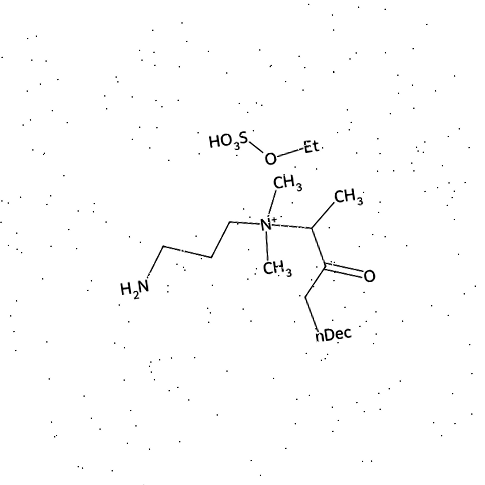 CCCCCCCCCCCC(=O)C(C)[N+](C)(C)CCCN.CCOS(=O)(=O)O